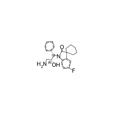 NC[C@@H](O)[C@H](c1ccccc1)N1C(=O)C2(CCCCC2)c2cc(F)ccc21